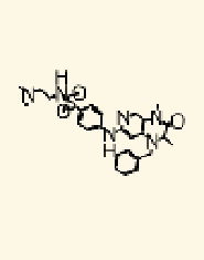 CC1C(=O)N(C)c2cnc(Nc3ccc(S(=O)(=O)NCCN(C)C)cc3)cc2N1Cc1ccccc1